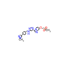 Cn1cc(-c2ccc(CNc3cc(-c4cnc5cc(OCCS(C)(=O)=O)ccn45)ncn3)cc2)cn1